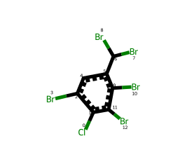 Clc1c(Br)cc(C(Br)Br)c(Br)c1Br